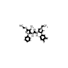 Cc1c(OCC#N)nn(-c2ccccc2)c1NC(=O)N[C@@H]1CN(CC(F)(F)F)C[C@H]1c1ccc(F)c(F)c1